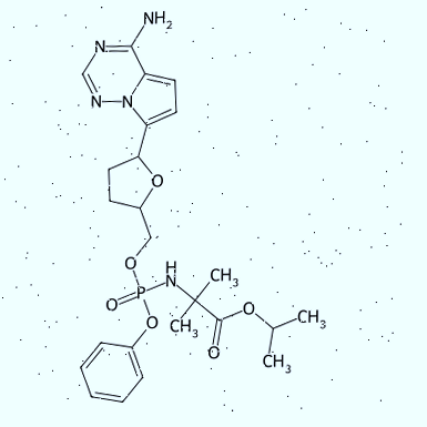 CC(C)OC(=O)C(C)(C)NP(=O)(OCC1CCC(c2ccc3c(N)ncnn23)O1)Oc1ccccc1